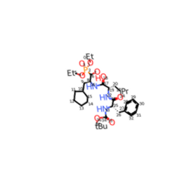 CCOP(=O)(OCC)C(O)[C@H](CC1CCCCC1)NC(=O)[C@H](CC(C)C)NC(=O)[C@H](Cc1ccccc1)NC(=O)OC(C)(C)C